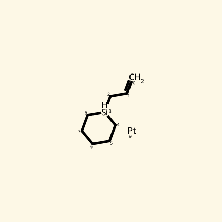 C=CC[SiH]1CCCCC1.[Pt]